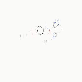 CCOc1ccc(NC(=O)c2c[nH]c3c2-c2nn(C)cc2CCC3)cc1